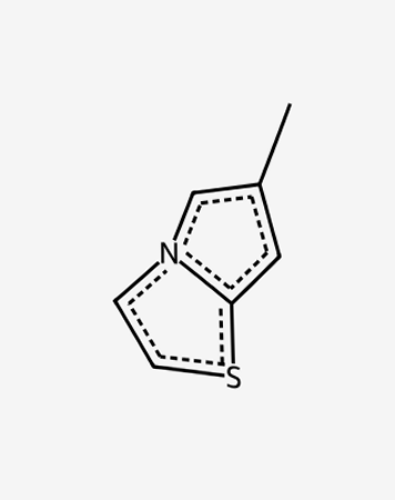 Cc1cc2sccn2c1